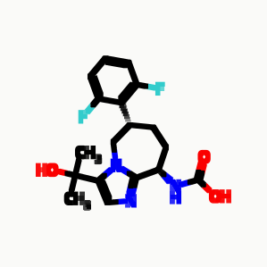 CC(C)(O)c1cnc2n1C[C@H](c1c(F)cccc1F)CC[C@H]2NC(=O)O